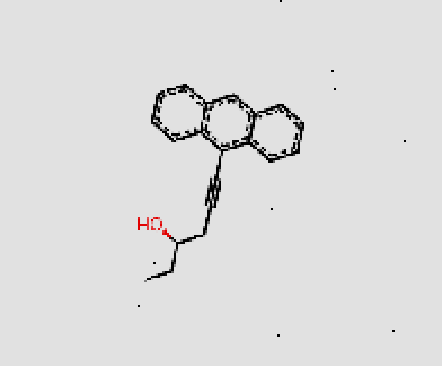 CC[C@@H](O)CC#Cc1c2ccccc2cc2ccccc12